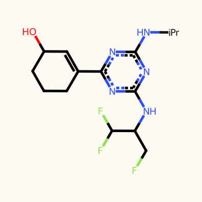 CC(C)Nc1nc(NC(CF)C(F)F)nc(C2=CC(O)CCC2)n1